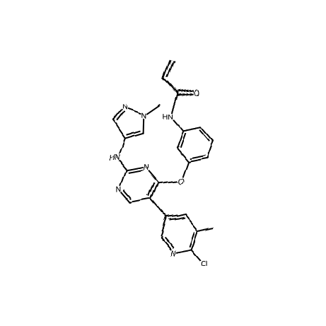 C=CC(=O)Nc1cccc(Oc2nc(Nc3cnn(C)c3)ncc2-c2cnc(Cl)c(C)c2)c1